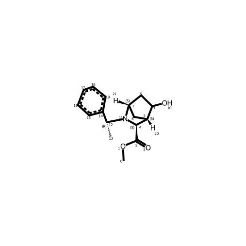 COC(=O)[C@@H]1[C@@H]2C[C@@H](CC2O)N1[C@H](C)c1ccccc1